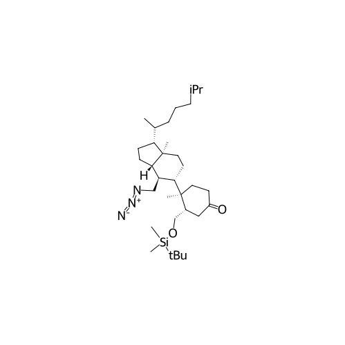 CC(C)CCCC(C)[C@H]1CC[C@H]2[C@H](CN=[N+]=[N-])[C@@H]([C@@]3(C)CCC(=O)C[C@@H]3CO[Si](C)(C)C(C)(C)C)CC[C@]12C